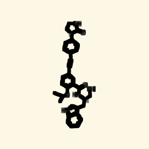 CC(C)Oc1ccc(C#Cc2ccc(N3CCNC3=O)cc2)cc1C(=O)N[C@@H](CO)Cc1c[nH]c2ccccc12